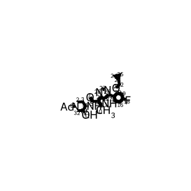 CC(=O)N1CC[C@H](NC(=O)c2c(C)[nH]c3c(-c4ccc(F)cc4OCC4CC4)ncnc23)[C@@H](O)C1